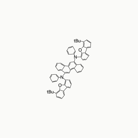 CC(C)(C)c1cccc2c1oc1c(N(c3ccccc3)c3cc4c5ccccc5c(N(c5ccccc5)c5cccc6c5oc5c(C(C)(C)C)cccc56)cc4c4ccccc34)cccc12